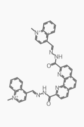 C[n+]1ccc(/C=N/NC(=O)c2ccc3ccc4ccc(C(=O)N/N=C/c5cc[n+](C)c6ccccc56)nc4c3n2)c2ccccc21